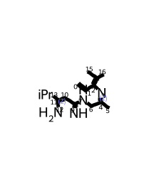 C=CC(/N=C(/C)CNC(=N)/C=C(\N)C(C)C)=C(C)C